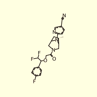 C[C@H]1CC2CN(C(=O)COC(c3ccc(F)cc3)C(F)F)CC1N2c1ccc(C#N)cn1